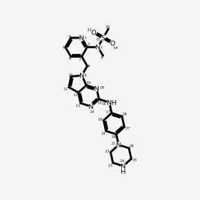 CN(c1ncccc1Cn1ccc2cnc(Nc3ccc(N4CCNCC4)cc3)nc21)S(C)(=O)=O